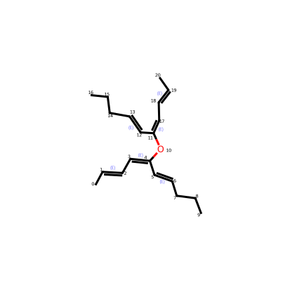 C/C=C/C=C(\C=C\CCC)OC(/C=C/CCC)=C/C=C/C